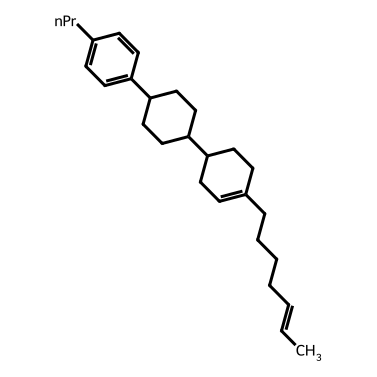 CC=CCCCCC1=CCC(C2CCC(c3ccc(CCC)cc3)CC2)CC1